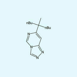 CCCCC(C)(CCCC)c1cc2nncn2cn1